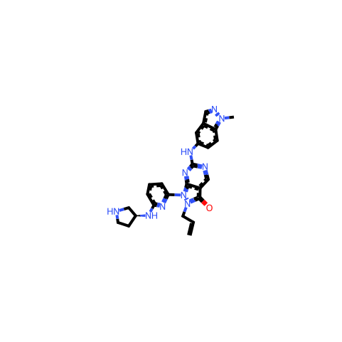 C=CCn1c(=O)c2cnc(Nc3ccc4c(cnn4C)c3)nc2n1-c1cccc(N[C@H]2CCNC2)n1